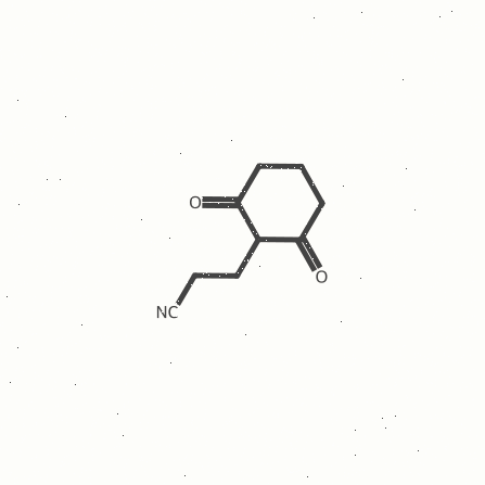 N#CCCC1C(=O)CCCC1=O